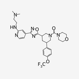 CN(C)CCNc1cc(-c2noc(C3CC(c4ccc(OC(F)(F)F)cc4)CN(C(=O)N4CCOCC4)C3)n2)ccn1